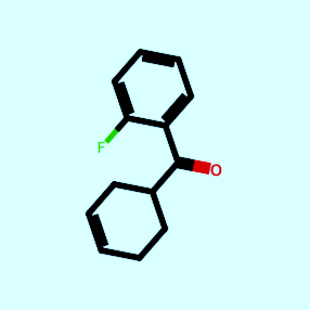 O=C(c1ccccc1F)C1CC=CCC1